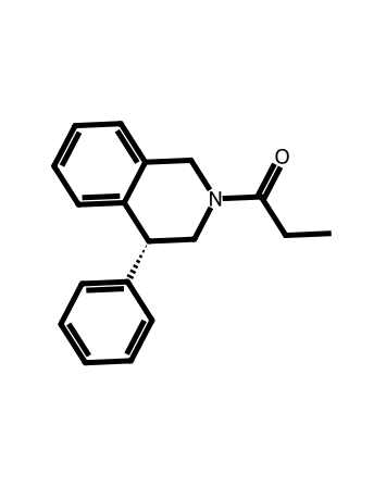 CCC(=O)N1Cc2ccccc2[C@@H](c2ccccc2)C1